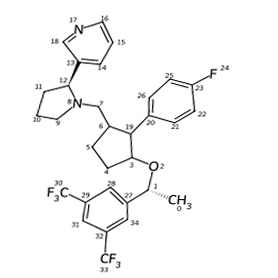 C[C@@H](OC1CCC(CN2CCC[C@H]2c2cccnc2)C1c1ccc(F)cc1)c1cc(C(F)(F)F)cc(C(F)(F)F)c1